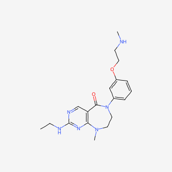 CCNc1ncc2c(n1)N(C)CCN(c1cccc(OCCNC)c1)C2=O